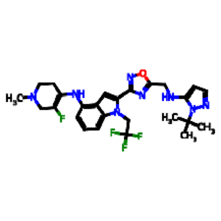 CN1CCC(Nc2cccc3c2cc(-c2noc(CNc4ccnn4C(C)(C)C)n2)n3CC(F)(F)F)=C(F)C1